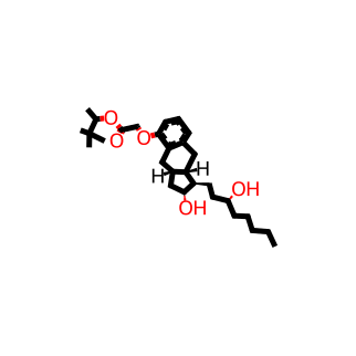 CCCCC[C@@H](O)CC[C@@H]1[C@H]2Cc3cccc(OCC(=O)OC(C)C(C)(C)C)c3C[C@H]2C[C@H]1O